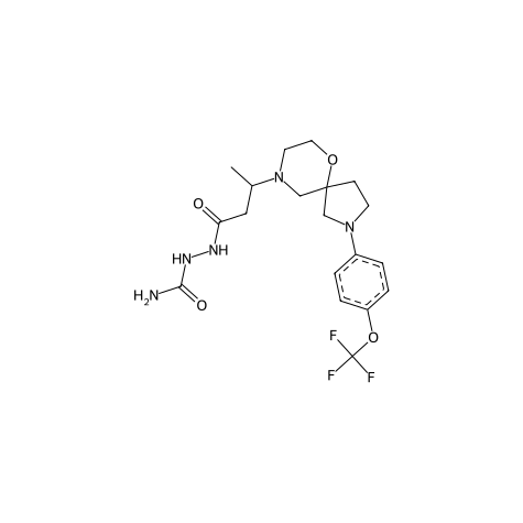 CC(CC(=O)NNC(N)=O)N1CCOC2(CCN(c3ccc(OC(F)(F)F)cc3)C2)C1